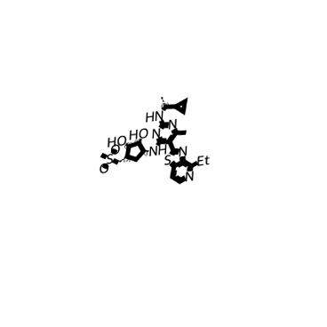 CCc1nccc2sc(-c3c(C)nc(N[C@H](C)C4CC4)nc3N[C@@H]3C[C@H](CS(C)(=O)=O)[C@@H](O)[C@H]3O)nc12